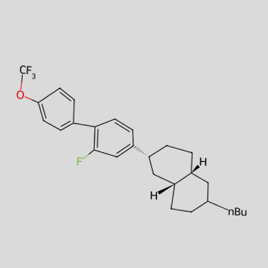 CCCCC1CC[C@@H]2C[C@H](c3ccc(-c4ccc(OC(F)(F)F)cc4)c(F)c3)CC[C@@H]2C1